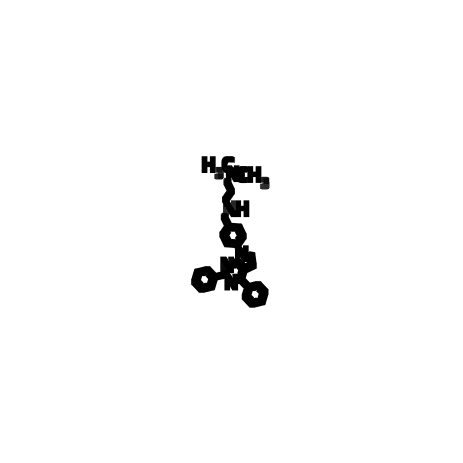 CN(C)CCCNCc1ccc(-n2ccc3c(-c4ccccc4)nc(-c4ccccc4)nc32)cc1